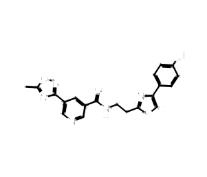 Cc1nc(-c2cncc(C(=O)NCCc3nc(-c4ccc(Cl)cc4)cs3)c2)no1